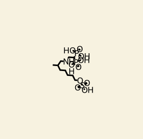 CC(CCCCCOS(=O)(=O)O)CNCC(P(=O)(O)O)P(=O)(O)O